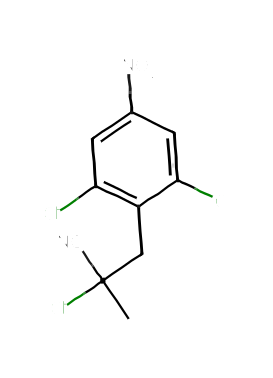 CC(Cl)(C#N)Cc1c(Cl)cc([N+](=O)[O-])cc1Cl